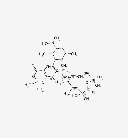 CC[C@@H](O[Si](C)(C)C(C)(C)C)[C@@](C)(O)/C=C(\C)C(=O)[C@H](C)C[C@@](C)(OC)[C@H](OC1OC(C)CC(N(C)C)C1C)[C@@H](C)C1=C(C)C(=O)OC(C)(C)O1